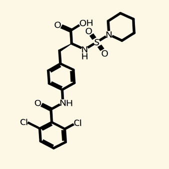 O=C(Nc1ccc(C[C@H](NS(=O)(=O)N2CCCCC2)C(=O)O)cc1)c1c(Cl)cccc1Cl